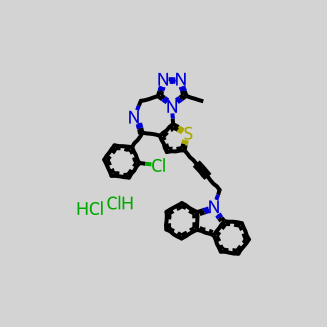 Cc1nnc2n1-c1sc(C#CCn3c4ccccc4c4ccccc43)cc1C(c1ccccc1Cl)=NC2.Cl.Cl